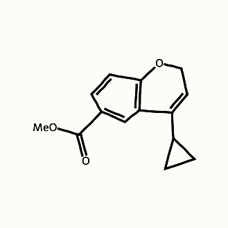 COC(=O)c1ccc2c(c1)C(C1CC1)=CCO2